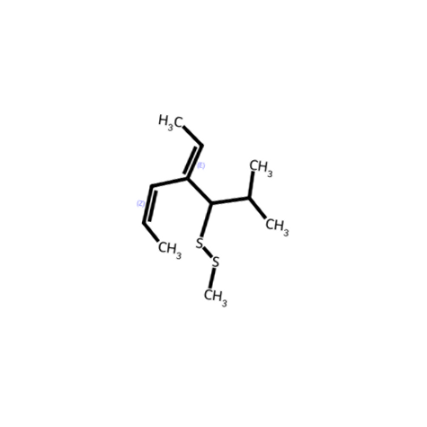 C/C=C\C(=C/C)C(SSC)C(C)C